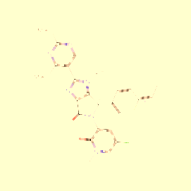 C=C(/C=C\C(Cl)=C/C)[C@H]1c2c(nc(-c3cnc(OC)nc3OC)n2C(C)C)C(=O)N1c1cc(Cl)cn(C)c1=O